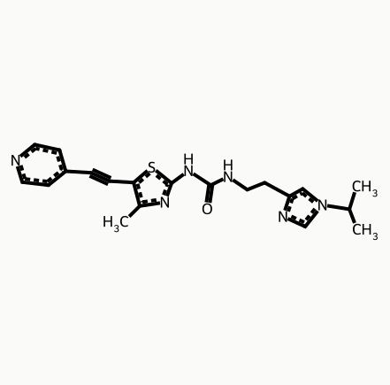 Cc1nc(NC(=O)NCCc2cn(C(C)C)cn2)sc1C#Cc1ccncc1